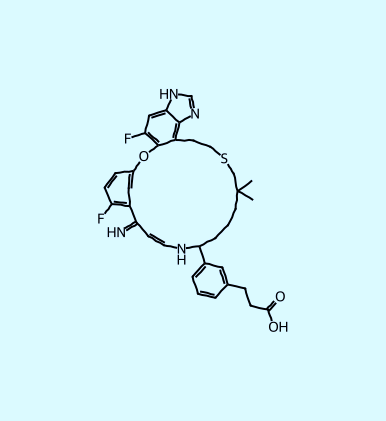 CC1(C)CCCC(c2cccc(CCC(=O)O)c2)N/C=C\C(=N)c2cc(ccc2F)Oc2c(F)cc3[nH]cnc3c2CCSC1